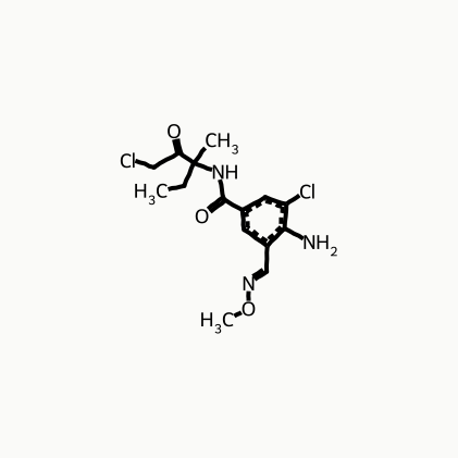 CCC(C)(NC(=O)c1cc(Cl)c(N)c(/C=N/OC)c1)C(=O)CCl